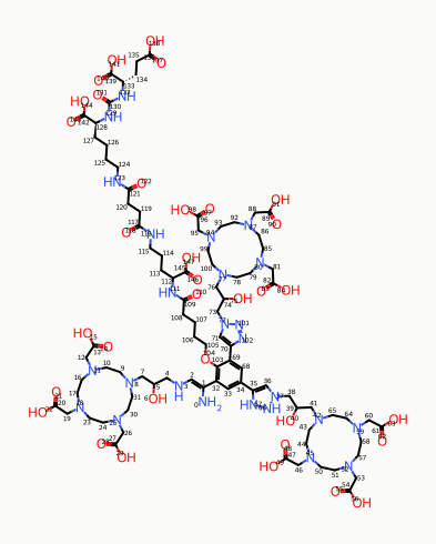 N/C(=C\NCC(O)CN1CCN(CC(=O)O)CCN(CC(=O)O)CCN(CC(=O)O)CC1)c1cc(C2=CN(CC(O)CN3CCN(CC(=O)O)CCN(CC(=O)O)CCN(CC(=O)O)CC3)NN2)cc(-c2cn(CC(O)CN3CCN(CC(=O)O)CCN(CC(=O)O)CCN(CC(=O)O)CC3)nn2)c1OCCCCC(=O)NC(CCCNC(=O)CCC(=O)NCCCC[C@H](NC(=O)N[C@@H](CCC(=O)O)C(=O)O)C(=O)O)C(=O)O